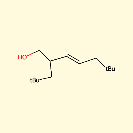 CC(C)(C)C/C=C/C(CO)CC(C)(C)C